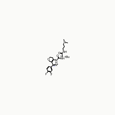 C/N=C(\C1=C(NC(=O)N[C@H](C(=O)NCCCN(C)C)C(C)(C)C)CCOC1)c1ccc(F)c(F)c1